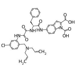 C=CCN(CC=C)Cc1ccc(Cl)cc1NC(=O)C(=O)N[C@@H](Cc1ccccc1)C(=O)Nc1ccc2c(c1)cc(C(=O)O)n2C(=O)O